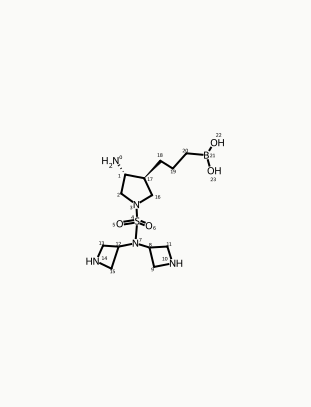 N[C@H]1CN(S(=O)(=O)N(C2CNC2)C2CNC2)C[C@@H]1CCCB(O)O